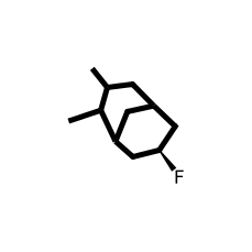 CC1CC2CC(C[C@H](F)C2)C1C